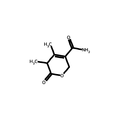 CC1=C(C(N)=O)COC(=O)C1C